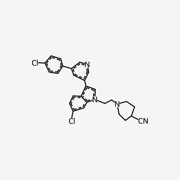 N#CC1CCN(CCn2cc(-c3cncc(-c4ccc(Cl)cc4)c3)c3ccc(Cl)cc32)CC1